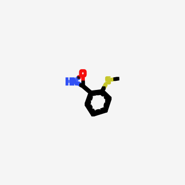 CSc1ccccc1C1NO1